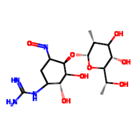 C[C@@H]1C(O)[C@H](O)C([C@@H](C)O)O[C@@H]1O[C@@H]1C(N=O)CC(NC(=N)N)[C@@H](O)C1O